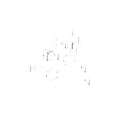 COc1cc(O)c(-c2nnc(C(=O)NCC(F)(F)F)n2-c2ccc(CN3CCN(C)CC3)c(F)c2)cc1C(C)C